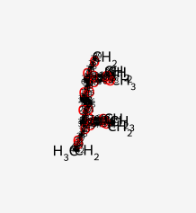 C=C=C(C)OOCCCCOc1c(/C=C/C(=O)Oc2ccc3cc(OC(=O)/C=C/c4ccc(OCCCCOOCC(=C)C)c(OCCCCOOCC(=C)C)c4OCCCCOC=C)ccc3c2)ccc(OCCCCOC=C)c1OCCCCOC=C